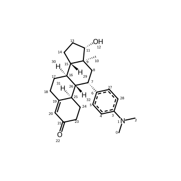 CN(C)c1ccc([C@H]2C[C@]3(C)[C@@H](O)CC[C@H]3[C@@H]3CCC4=CC(=O)CC[C@@H]4[C@H]32)cc1